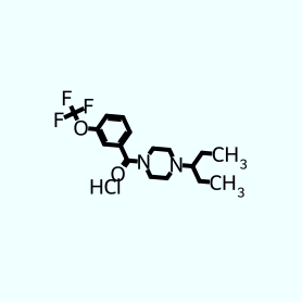 CCC(CC)N1CCN(C(=O)c2cccc(OC(F)(F)F)c2)CC1.Cl